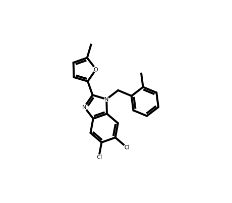 Cc1ccc(-c2nc3cc(Cl)c(Cl)cc3n2Cc2ccccc2C)o1